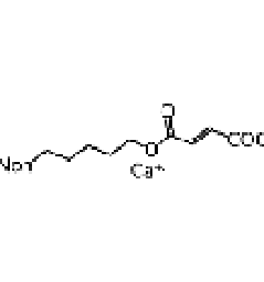 CCCCCCCCCCCCCCOC(=O)C=CC(=O)[O-].[Ca+]